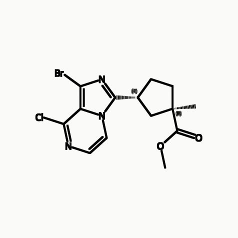 COC(=O)[C@]1(C)CC[C@@H](c2nc(Br)c3c(Cl)nccn23)C1